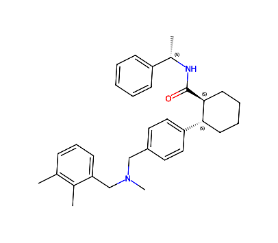 Cc1cccc(CN(C)Cc2ccc([C@H]3CCCC[C@@H]3C(=O)N[C@@H](C)c3ccccc3)cc2)c1C